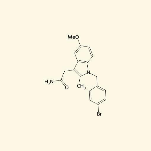 COc1ccc2c(c1)c(CC(N)=O)c(C)n2Cc1ccc(Br)cc1